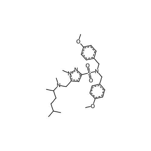 COc1ccc(CN(Cc2ccc(OC)cc2)S(=O)(=O)c2cc(CN(C)C(C)CCC(C)C)n(C)n2)cc1